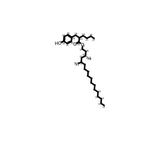 [3H]C(CCCCCCCCCCCCC)CC([3H])CCOC(=O)C(CCCC)Cc1ccc(O)cc1